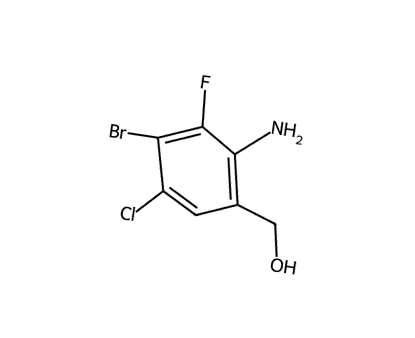 Nc1c(CO)cc(Cl)c(Br)c1F